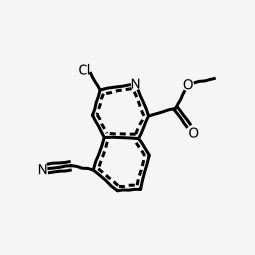 COC(=O)c1nc(Cl)cc2c(C#N)cccc12